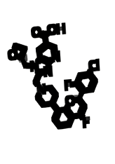 O=C(O)c1cnc2nc(CN3CCC(c4cccc5c4O[C@@H](c4ccc(Cl)cc4F)C=C5F)CC3)n(C[C@@H]3CCO3)c2c1